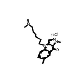 Cc1ccc2c(c1)c(=O)c1c(cnn1C)n2CCCCCCN(C)C.Cl